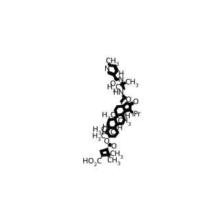 Cc1ccc(C(=O)NC(C)(C)CNC(=O)C[C@@]23CC[C@]4(C)[C@H](CC[C@@H]5[C@@]6(C)CC[C@H](OC(=O)[C@H]7C[C@@H](C(=O)O)C7(C)C)C(C)(C)[C@@H]6CC[C@]54C)C2=C(C(C)C)C(=O)C3)cn1